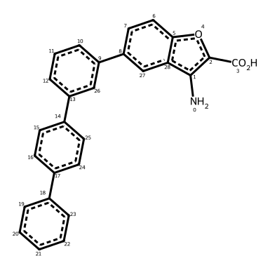 Nc1c(C(=O)O)oc2ccc(-c3cccc(-c4ccc(-c5ccccc5)cc4)c3)cc12